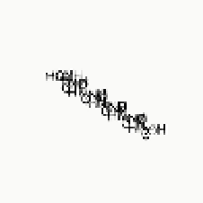 N[C@@H](CO)C(=O)NCC(=O)NCC(=O)NCC(=O)NCC(=O)NCC(=O)NCC(=O)NCC(=O)NCC(=O)O